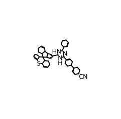 N#CC1CC=C(C2CC=C(C3=NC(C4C=CCCC4)NC(C4=CC5C6C=CCCC6C6(C7CCCC=C7SC7C=CCCC76)C5C=C4)N3)CC2)CC1